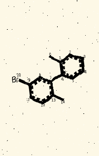 Cc1[c]cccc1-c1cc(Br)ccc1C